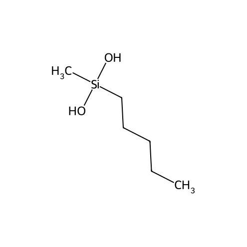 CCCCC[Si](C)(O)O